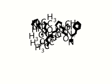 CC[C@H](C)[C@@H]([C@@H](CC(=O)N1CCC[C@H]1[C@H](OC)[C@@H](C)C(=O)N[C@H](C#N)Cc1ccccc1)OC)N(C)C(=O)[C@@H](Nc1ncccn1)C(C)C